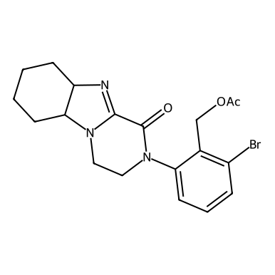 CC(=O)OCc1c(Br)cccc1N1CCN2C(=NC3CCCCC32)C1=O